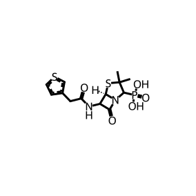 CC1(C)S[C@@H]2C(NC(=O)Cc3ccsc3)C(=O)N2C1P(=O)(O)O